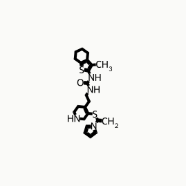 C=C(SC1=C(CCNC(=O)Nc2sc3c(c2C)CCCC3)CCNC1)n1cccc1